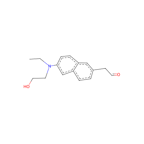 CCN(CCO)c1ccc2cc(CC=O)ccc2c1